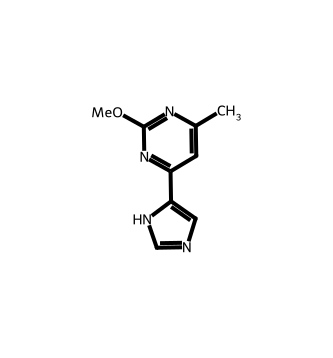 COc1nc(C)cc(-c2cnc[nH]2)n1